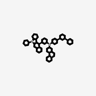 c1ccc(-c2cccc(-c3ccc(N(c4cccc(-c5c6ccccc6cc6c5c5ccccc5n6-c5ccccc5)c4)c4ccc5c(ccc6ccccc65)c4)cc3)c2)cc1